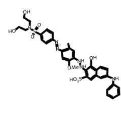 COc1cc(/N=N/c2ccc(S(=O)(=O)N(CCO)CCO)cc2)c(C)cc1NNc1c(S(=O)(=O)O)cc2cc(Nc3ccccc3)ccc2c1O